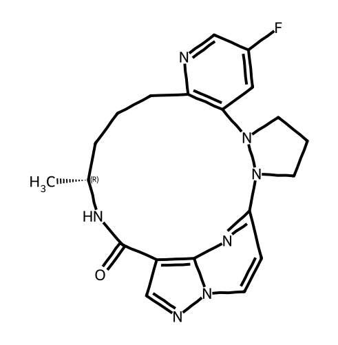 C[C@@H]1CCCc2ncc(F)cc2N2CCCN2c2ccn3ncc(c3n2)C(=O)N1